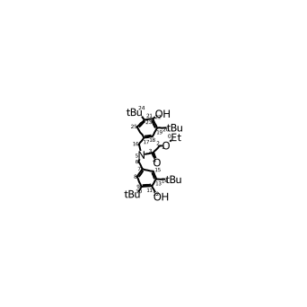 CCOCC(=O)N(Cc1cc(C(C)(C)C)c(O)c(C(C)(C)C)c1)Cc1cc(C(C)(C)C)c(O)c(C(C)(C)C)c1